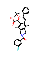 Cc1c(/C=C/c2ccccc2)c([C@H](OC(C)(C)C)C(=O)O)c(C)c2c1CN(C(=O)c1cccc(F)c1)C2